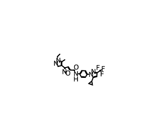 CCn1ncc(-c2cc(C(=O)Nc3ccc(-n4nc(C(F)(F)F)cc4C4CC4)cc3)on2)c1C